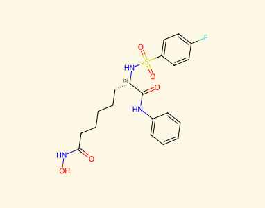 O=C(CCCCC[C@H](NS(=O)(=O)c1ccc(F)cc1)C(=O)Nc1ccccc1)NO